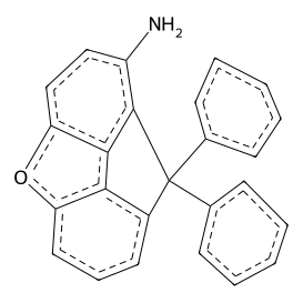 Nc1ccc2oc3cccc4c3c2c1C4(c1ccccc1)c1ccccc1